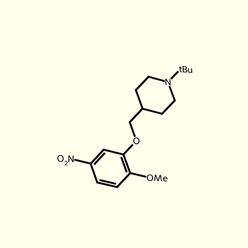 COc1ccc([N+](=O)[O-])cc1OCC1CCN(C(C)(C)C)CC1